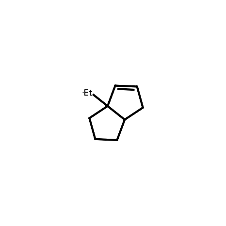 C[CH]C12C=CCC1CCC2